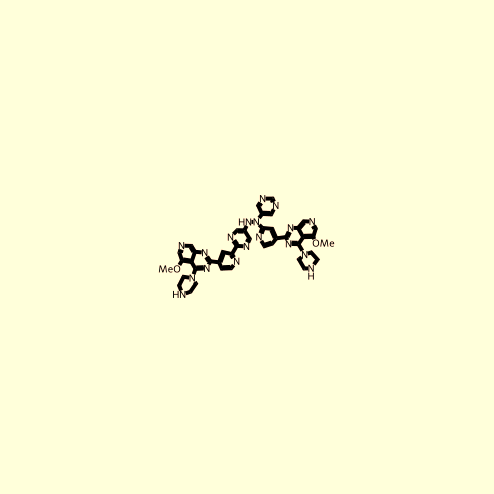 COc1cncc2nc(-c3ccnc(-c4ncc(NN(c5cncnc5)c5cc(-c6nc(N7CCNCC7)c7c(OC)cncc7n6)ccn5)cn4)c3)nc(N3CCNCC3)c12